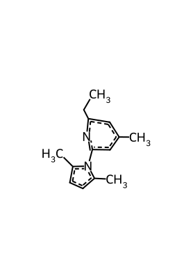 CCc1cc(C)cc(-n2c(C)ccc2C)n1